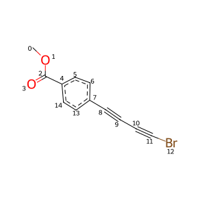 COC(=O)c1ccc(C#CC#CBr)cc1